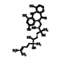 CC(C)=CCCC(C)(O)C(O)CCC(C)(O)C(O)CN1C(=O)c2cccc(O)c2Nc2c(O)cc(O)cc21